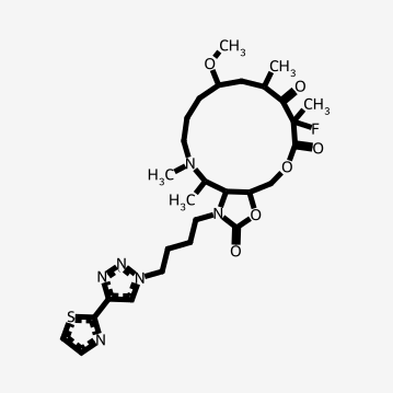 COC1CCCN(C)C(C)C2C(COC(=O)C(C)(F)C(=O)C(C)C1)OC(=O)N2CCCCn1cc(-c2nccs2)nn1